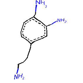 NCCc1ccc(N)c(N)c1